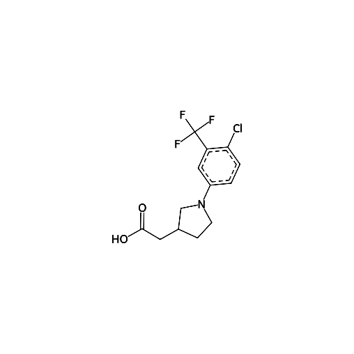 O=C(O)CC1CCN(c2ccc(Cl)c(C(F)(F)F)c2)C1